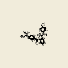 C/N=C(/c1ccc(C(=O)Nc2ccccc2C(=O)Nc2ccc(Cl)cn2)cc1)N(C)C